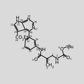 C=C(CNC(=O)OC(C)(C)C)C(=O)Nc1cccc(-c2ncnc3[nH]cc(C(=O)OCC)c23)c1